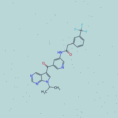 CC(C)n1cc(C(=O)c2cncc(NC(=O)Cc3cccc(C(F)(F)F)c3)c2)c2cncnc21